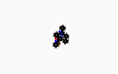 c1ccc(-c2cccc(-c3cc(-c4ccccc4)nc(-c4cccc5oc6c(-c7nc8ccccc8s7)cccc6c45)n3)c2)cc1